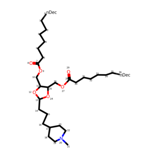 CCCCCCCCCCCCCCCCC(=O)OCC1OC(CCCC2CCN(C)CC2)OC1COC(=O)CCCCCCCCCCCCCCCC